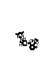 Cc1cc(C)nc(N2C[C@@H]3CCN(C(=O)c4cccc(F)c4-c4ncco4)C[C@@H]32)n1